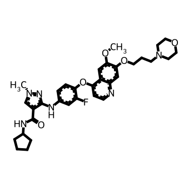 COc1cc2c(Oc3ccc(Nc4nn(C)cc4C(=O)NC4CCCC4)cc3F)ccnc2cc1OCCCN1CCOCC1